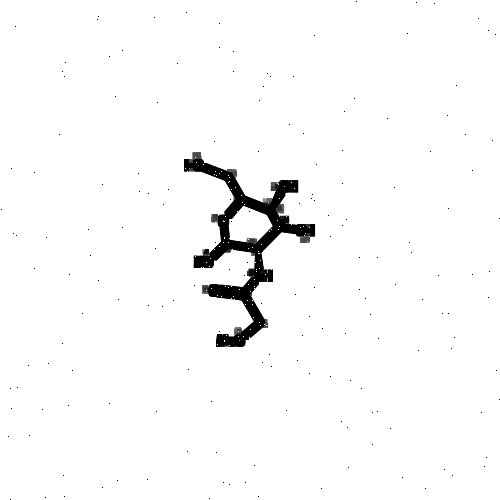 COCC(=O)N[C@H]1C(O)OC(CO)[C@@H](O)C1O